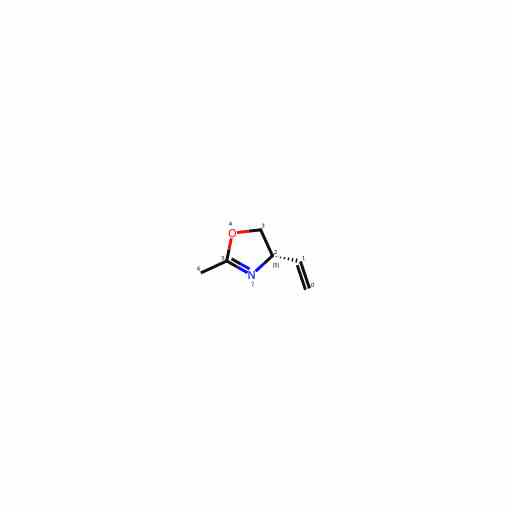 C=C[C@H]1COC(C)=N1